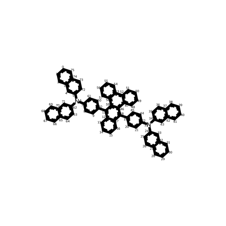 c1ccc2cc(N(c3ccc(-c4c5ccccc5c(-c5ccc(N(c6ccc7ccccc7c6)c6ccc7ccccc7c6)cc5)c5c6ccccc6c6ccccc6c45)cc3)c3ccc4ccccc4c3)ccc2c1